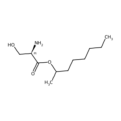 CCCCCCC(C)OC(=O)[C@H](N)CO